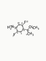 C=C(OC)c1cc(F)c(N)cc1F